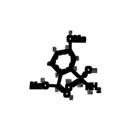 COC(=O)c1ccc(OC)cc1S(N)(=O)=O